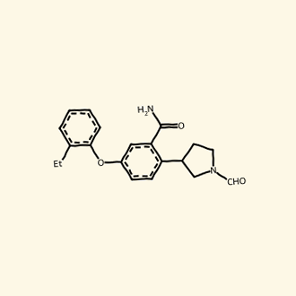 CCc1ccccc1Oc1ccc(C2CCN(C=O)C2)c(C(N)=O)c1